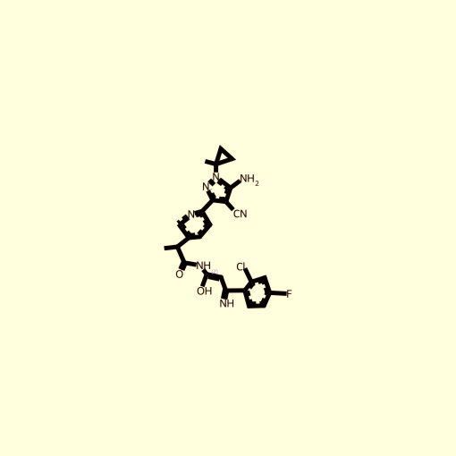 CC(C(=O)N/C(O)=C/C(=N)c1ccc(F)cc1Cl)c1ccc(-c2nn(C3(C)CC3)c(N)c2C#N)nc1